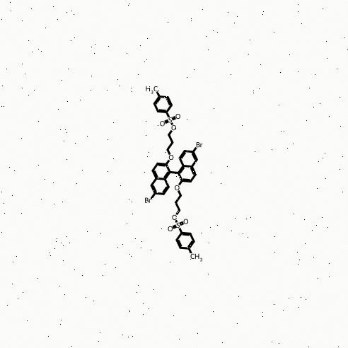 Cc1ccc(S(=O)(=O)OCCCOc2ccc3cc(Br)ccc3c2-c2c(OCCCOS(=O)(=O)c3ccc(C)cc3)ccc3cc(Br)ccc23)cc1